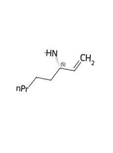 C=C[C@@H]([NH])CCCCC